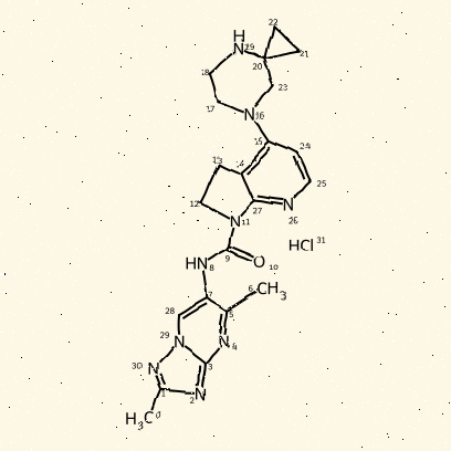 Cc1nc2nc(C)c(NC(=O)N3CCc4c(N5CCNC6(CC6)C5)ccnc43)cn2n1.Cl